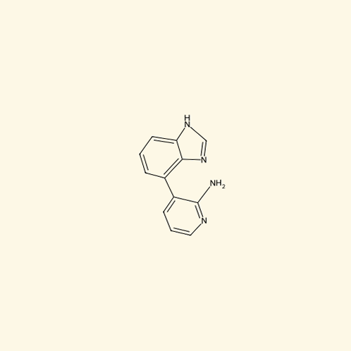 Nc1ncccc1-c1cccc2[nH]cnc12